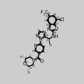 C[C@@H]1CN(C(=O)c2ccc(-n3ncnc3[C@H](C)Nc3nc4cc(C(F)(F)F)cc(Cl)c4o3)nc2)C[C@H](C)O1